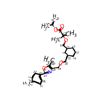 C=C(C)OC(=O)C(C)(C)OCC1CCCC(COCc2nc(-c3ccc(C)cc3)oc2C)C1